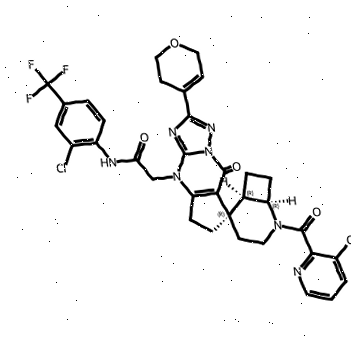 O=C(Cn1c2c(c(=O)n3nc(C4=CCOCC4)nc13)[C@]1(CC2)CCN(C(=O)c2ncccc2O)[C@@H]2CC[C@@H]21)Nc1ccc(C(F)(F)F)cc1Cl